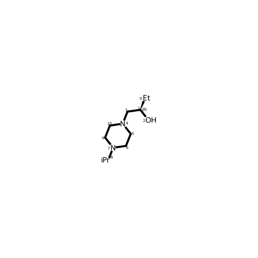 CC[C@@H](O)CN1CCN(C(C)C)CC1